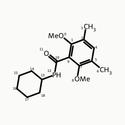 COc1c(C)cc(C)c(OC)c1C(=O)PC1CCCCC1